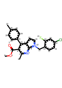 COC(=O)c1c(C)nc2c(ccn2Cc2ccc(Cl)cc2F)c1-c1ccc(C)cc1